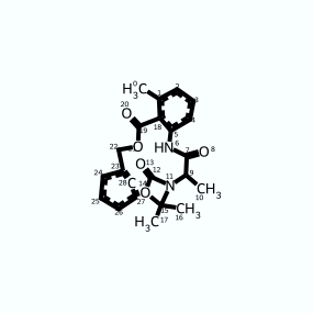 Cc1cccc(NC(=O)C(C)N2C(=O)OC2(C)C)c1C(=O)OCc1ccccc1